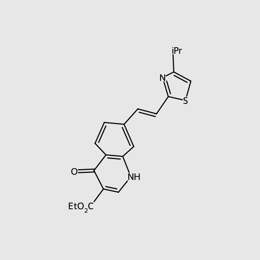 CCOC(=O)c1c[nH]c2cc(C=Cc3nc(C(C)C)cs3)ccc2c1=O